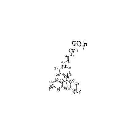 O=C(O)COCC=CCN1CCN(C(c2ccc(F)cc2)c2ccc(F)cc2)CC1